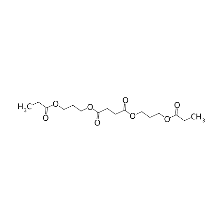 CCC(=O)OCCCOC(=O)CCC(=O)OCCCOC(=O)CC